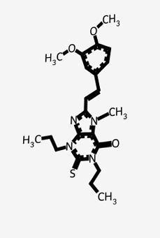 CCCn1c(=O)c2c(nc(C=Cc3ccc(OC)c(OC)c3)n2C)n(CCC)c1=S